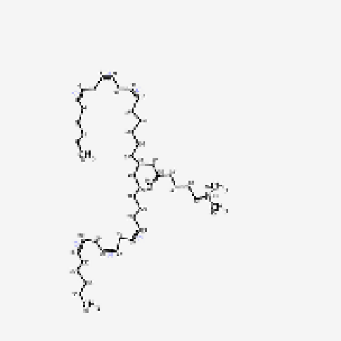 CCCCC/C=C\C/C=C\C/C=C\CCCCCC(CCCCC/C=C\C/C=C\C/C=C\CCCCC)CC(=O)CCCCN(C)C